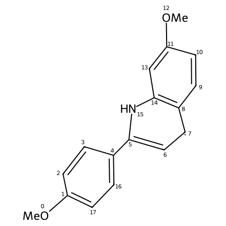 COc1ccc(C2=C[CH]c3ccc(OC)cc3N2)cc1